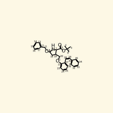 CC(C)(C)OC(=O)C1N[C@H](OCc2ccccc2)CC1COc1ccccc1C=Cc1ccccc1